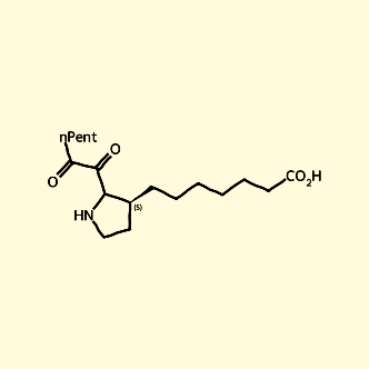 CCCCCC(=O)C(=O)C1NCC[C@@H]1CCCCCCC(=O)O